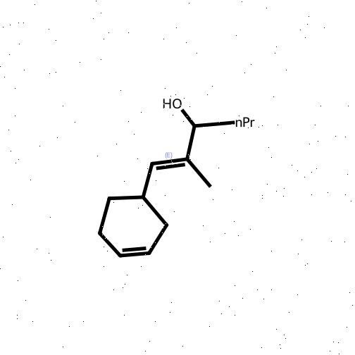 CCCC(O)/C(C)=C/C1CC=CCC1